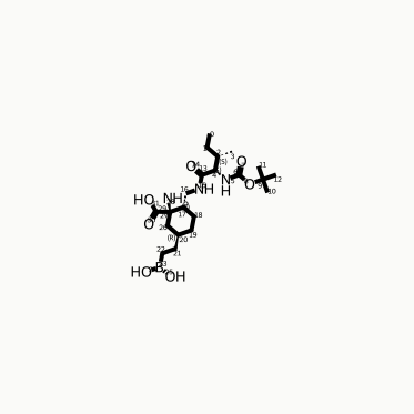 CC[C@H](C)[C@H](NC(=O)OC(C)(C)C)C(=O)NC[C@@H]1CC[C@@H](CCB(O)O)C[C@]1(N)C(=O)O